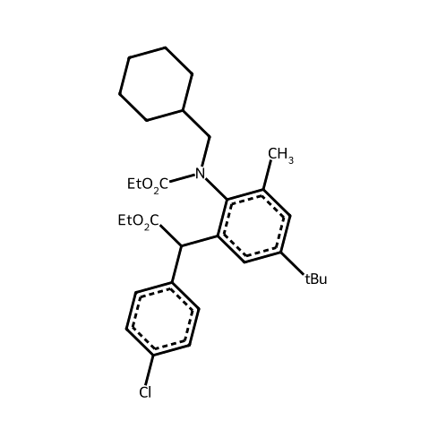 CCOC(=O)C(c1ccc(Cl)cc1)c1cc(C(C)(C)C)cc(C)c1N(CC1CCCCC1)C(=O)OCC